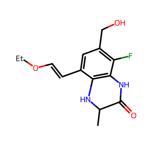 CCOC=Cc1cc(CO)c(F)c2c1NC(C)C(=O)N2